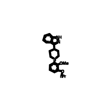 CCCOc1[c]ccc(N2CCC(c3n[nH]c4ccccc34)CC2)c1OC